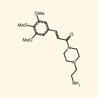 COc1cc(C=CC(=O)N2CCN(CCN)CC2)cc(OC)c1OC